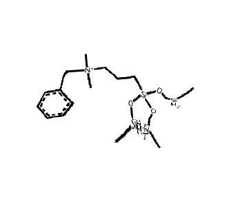 C[SiH2]O[Si](CCC[N+](C)(C)Cc1ccccc1)(O[SiH2]C)O[SiH2]C